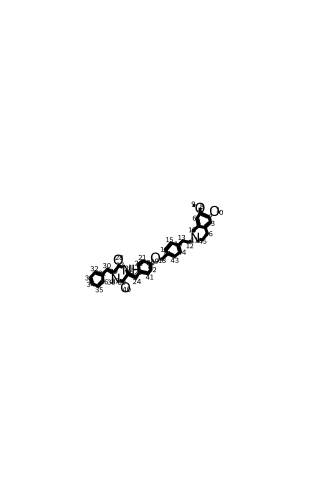 COc1cc2c(cc1OC)CN(CCc1ccc(COc3ccc(/C=c4\[nH]c(=O)/c(=C/c5ccccc5)n(C)c4=O)cc3)cc1)CC2